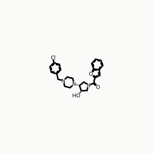 O=C(c1cc2ccccc2o1)N1C[C@@H](O)[C@H](N2CCN(Cc3ccc(Cl)cc3)CC2)C1